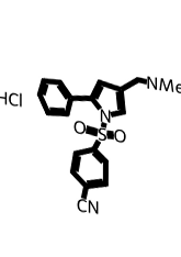 CNCc1cc(-c2ccccc2)n(S(=O)(=O)c2ccc(C#N)cc2)c1.Cl